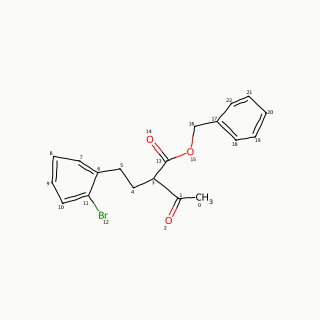 CC(=O)C(CCc1ccccc1Br)C(=O)OCc1ccccc1